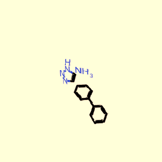 N.c1c[nH]nn1.c1ccc(-c2ccccc2)cc1